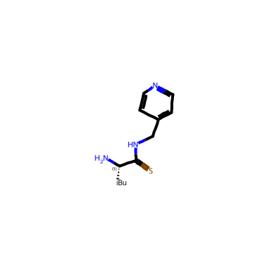 CCC(C)[C@H](N)C(=S)NCc1ccncc1